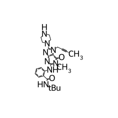 CC#CCn1c(N2CCNCC2)nc2nc(Nc3ccccc3C(=O)NC(C)(C)C)n(C)c(=O)c21